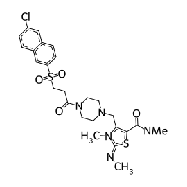 C/N=c1\sc(C(=O)NC)c(CN2CCN(C(=O)CCS(=O)(=O)c3ccc4cc(Cl)ccc4c3)CC2)n1C